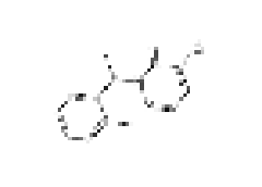 Cc1ccccc1C(C)N1C=CC=C(Cl)N1